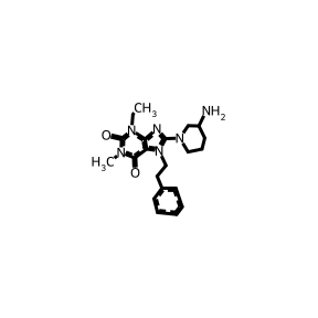 CCn1c(=O)n(C)c(=O)c2c1nc(N1CCCC(N)C1)n2CCc1ccccc1